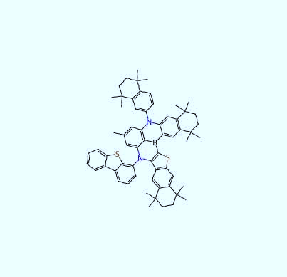 Cc1cc2c3c(c1)N(c1cccc4c1sc1ccccc14)c1c(sc4cc5c(cc14)C(C)(C)CCC5(C)C)B3c1cc3c(cc1N2c1ccc2c(c1)C(C)(C)CCC2(C)C)C(C)(C)CCC3(C)C